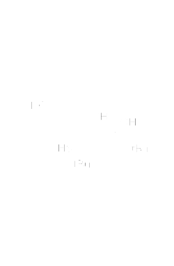 Cc1ccc(Pc2cc(C(C)(C)C)cc(C(C)(C)C)c2O)c(CS)c1